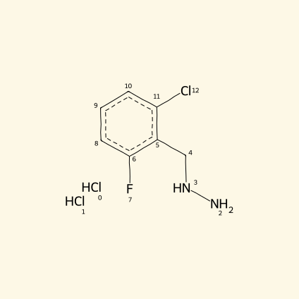 Cl.Cl.NNCc1c(F)cccc1Cl